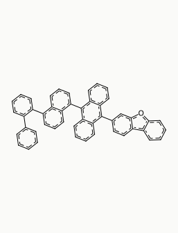 c1ccc(-c2ccccc2-c2cccc3c(-c4c5ccccc5c(-c5ccc6c(c5)oc5ccccc56)c5ccccc45)cccc23)cc1